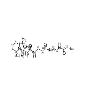 CC1CCCC(C)N1C(C)(C)CC(=O)NCCC(=O)NCCNC(=O)CI